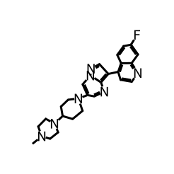 CN1CCN(C2CCN(c3cnc4c(-c5ccnc6cc(F)ccc56)cnn4c3)CC2)CC1